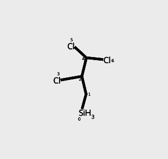 [SiH3]CC(Cl)C(Cl)Cl